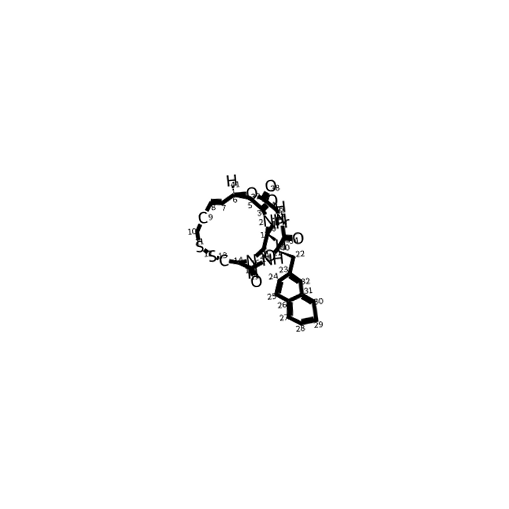 CC(C)[C@H]1NC(=O)C[C@H]2/C=C/CCSSCC(NC1=O)C(=O)N[C@H](Cc1ccc3ccccc3c1)C(=O)NCC(=O)O2